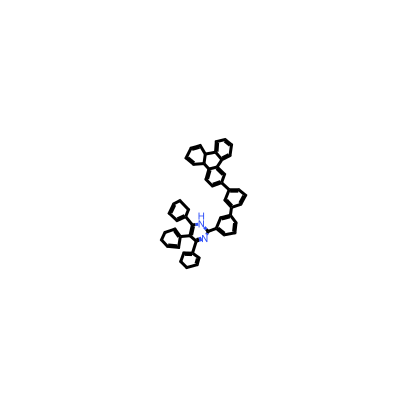 C1=CCCC(C2=C(C3=CCCC=C3)C(C3=CCCC=C3)=NC(c3cccc(-c4cccc(-c5ccc6c(c5)-c5ccccc5C5C=CC=CC65)c4)c3)N2)=C1